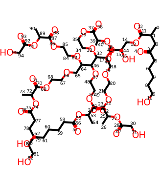 CC(CC(=O)CCCCCO)C(=O)OCCOC(COCCOC(=O)C(C)OC(=O)CO)C(OCCOC(=O)C(C)OC(=O)CO)C(OCCOC(=O)C(C)OC(=O)CCCCCO)C(COCCOC(=O)C(C)OC(=O)CCCCCO)OCCOC(=O)C(C)OC(=O)CO